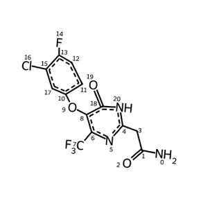 NC(=O)Cc1nc(C(F)(F)F)c(Oc2ccc(F)c(Cl)c2)c(=O)[nH]1